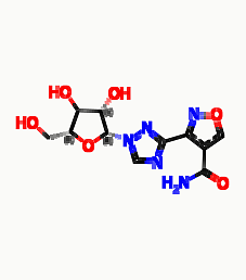 NC(=O)c1conc1-c1ncn([C@@H]2O[C@H](CO)C(O)[C@@H]2O)n1